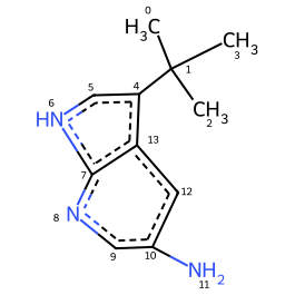 CC(C)(C)c1c[nH]c2ncc(N)cc12